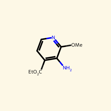 CCOC(=O)c1ccnc(OC)c1N